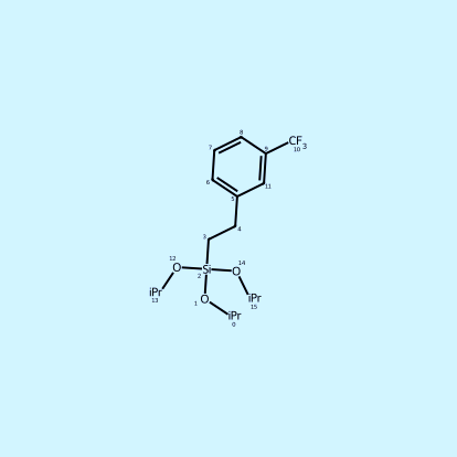 CC(C)O[Si](CCc1cccc(C(F)(F)F)c1)(OC(C)C)OC(C)C